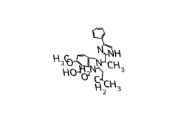 C=C(C)CC(N)N(Cc1ccc(OC)c(C(=O)O)c1)[C@@H](C)c1nc(-c2ccccc2)c[nH]1